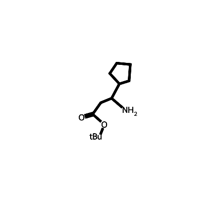 CC(C)(C)OC(=O)CC(N)C1CCCC1